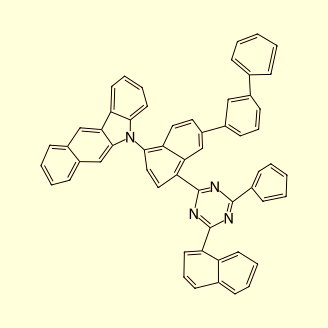 c1ccc(-c2cccc(-c3ccc4c(-n5c6ccccc6c6cc7ccccc7cc65)ccc(-c5nc(-c6ccccc6)nc(-c6cccc7ccccc67)n5)c4c3)c2)cc1